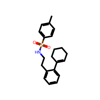 Cc1ccc(S(=O)(=O)NCCc2ccccc2C2=CCCCC2)cc1